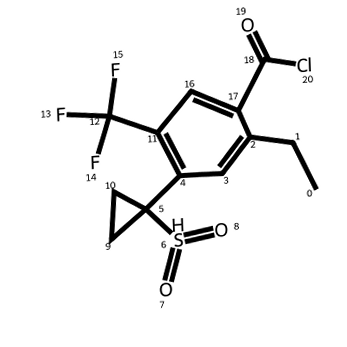 CCc1cc(C2([SH](=O)=O)CC2)c(C(F)(F)F)cc1C(=O)Cl